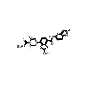 COc1nc2c(C(=O)Nc3ccc4nn(C)cc4n3)ccc(N3C[C@H](C)N(C(=O)OC(C)(C)C)[C@@H](C)C3)c2s1